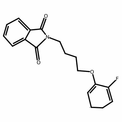 O=C1c2ccccc2C(=O)N1CCCCOC1=C[CH]CC=C1F